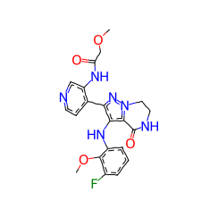 COCC(=O)Nc1cnccc1-c1nn2c(c1Nc1cccc(F)c1OC)C(=O)NCC2